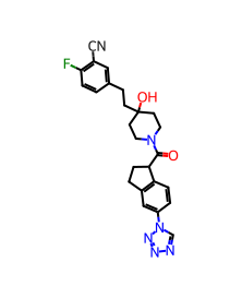 N#Cc1cc(CCC2(O)CCN(C(=O)C3CCc4cc(-n5cnnn5)ccc43)CC2)ccc1F